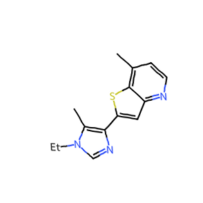 CCn1cnc(-c2cc3nccc(C)c3s2)c1C